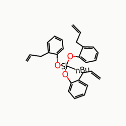 C=CCc1ccccc1O[Si](CCCC)(Oc1ccccc1CC=C)Oc1ccccc1CC=C